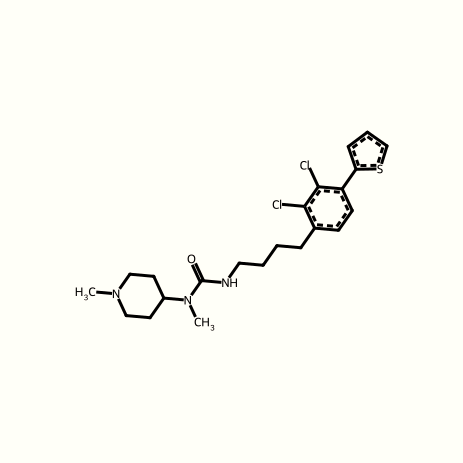 CN1CCC(N(C)C(=O)NCCCCc2ccc(-c3cccs3)c(Cl)c2Cl)CC1